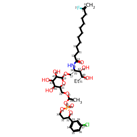 C=C(F)CCCCCCCCCCC(=O)N[C@@H](COC1OC(COC(C)OP2(=O)OCCC(c3cccc(Cl)c3)O2)C(O)C(O)C1O)[C@H](O)[C@H](O)CC